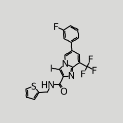 O=C(NCc1cccs1)c1nc2c(C(F)(F)F)cc(-c3cccc(F)c3)cn2c1I